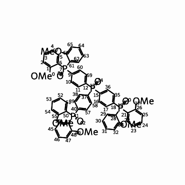 COc1ccccc1P(=O)(c1ccc(P(=O)(c2ccc(P(=O)(c3ccccc3OC)c3ccccc3OC)cc2)c2ccc(P(=O)(c3ccccc3OC)c3ccccc3OC)cc2)cc1)c1ccccc1OC